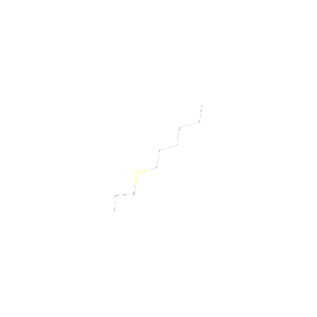 CC[CH]SCCCCCC